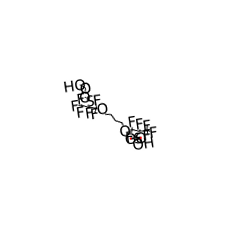 O=S(=O)(O)C(F)(C(F)(F)F)C(F)(F)OCCCCOC(F)(F)C(F)(SOOO)C(F)(F)F